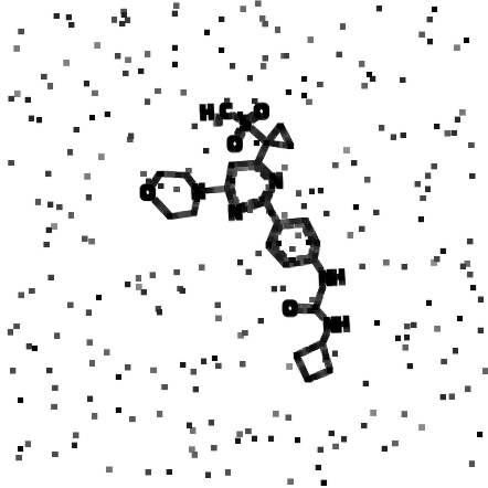 CS(=O)(=O)C1(c2cc(N3CCOCC3)nc(-c3ccc(NC(=O)NC4CCC4)cc3)n2)CC1